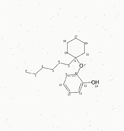 CCCCCCC1(Oc2ccccc2O)CCCCC1